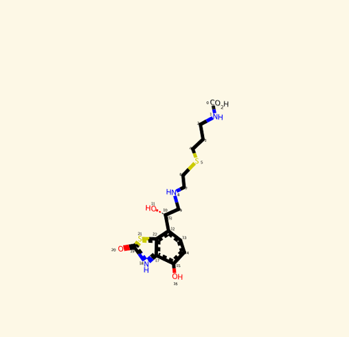 O=C(O)NCCCSCCNC[C@@H](O)c1ccc(O)c2[nH]c(=O)sc12